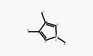 Cc1[c]p(C)cc1C